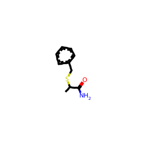 CC(SCc1ccccc1)C(N)=O